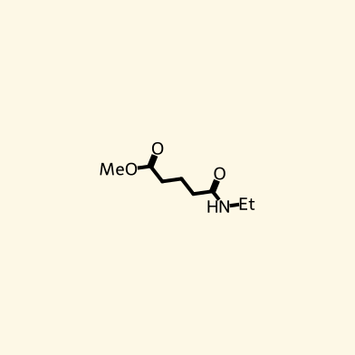 CCNC(=O)CCCC(=O)OC